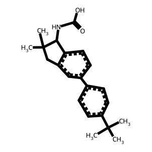 CC(C)(C)c1ccc(-c2ccc3c(c2)CC(C)(C)C3NC(=O)O)cc1